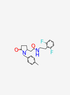 Cc1ccc(CN2C(=O)CCC2CC(=O)NCCc2c(F)cccc2F)cc1